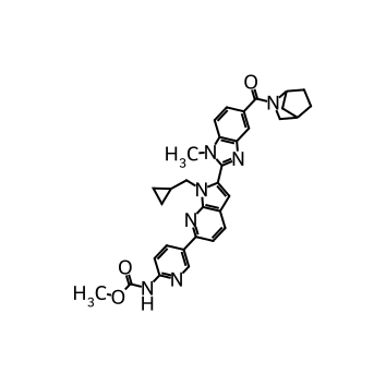 COC(=O)Nc1ccc(-c2ccc3cc(-c4nc5cc(C(=O)N6CC7CCC6C7)ccc5n4C)n(CC4CC4)c3n2)cn1